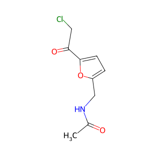 CC(=O)NCc1ccc(C(=O)CCl)o1